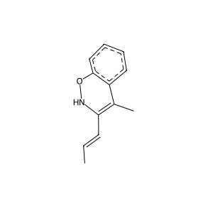 CC=CC1=C(C)c2ccccc2ON1